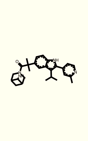 Cc1cc(-c2[nH]c3ccc(C(C)(C)C(=O)N4CC5CC(C4)C5N)cc3c2C(C)C)ccn1